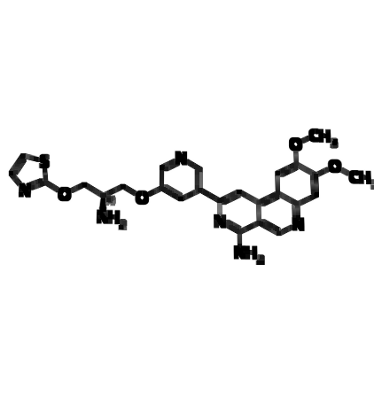 COc1cc2ncc3c(N)nc(-c4cncc(OC[C@@H](N)COc5nccs5)c4)cc3c2cc1OC